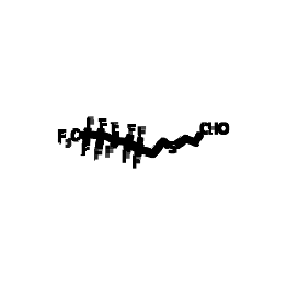 O=CCCSCCC(F)(F)C(F)(F)C(F)(F)C(F)(F)C(F)(F)C(F)(F)F